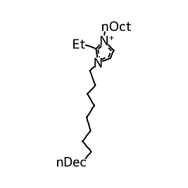 CCCCCCCCCCCCCCCCCCn1cc[n+](CCCCCCCC)c1CC